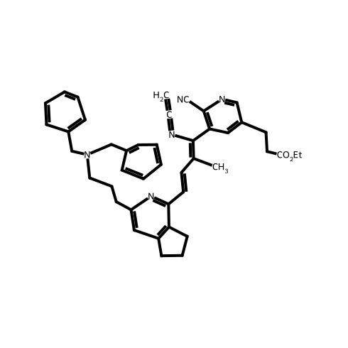 C=C=N/C(=C(C)\C=C\c1nc(CCCN(Cc2ccccc2)Cc2ccccc2)cc2c1CCC2)c1cc(CCC(=O)OCC)cnc1C#N